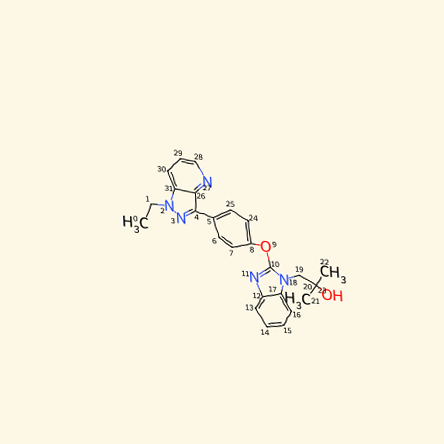 CCn1nc(-c2ccc(Oc3nc4ccccc4n3CC(C)(C)O)cc2)c2ncccc21